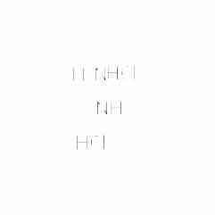 Cl.Cl.N.N